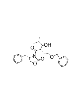 CC(C)[C@@H](O)[C@H](CCOCc1ccccc1)C(=O)N1C(=O)OC[C@@H]1Cc1ccccc1